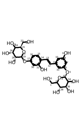 OCC1O[C@@H](Oc2cc(O)cc(/C=C/c3ccc(OC4O[C@H](CO)C(O)[C@@H](O)[C@H]4O)cc3O)c2)C(O)[C@@H](O)[C@@H]1O